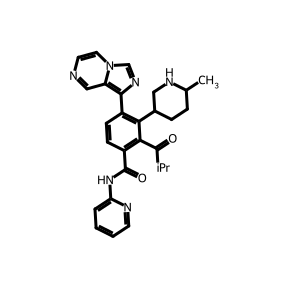 CC1CCC(c2c(-c3ncn4ccncc34)ccc(C(=O)Nc3ccccn3)c2C(=O)C(C)C)CN1